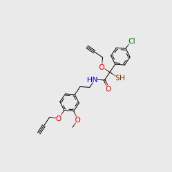 C#CCOc1ccc(CCNC(=O)C(S)(OCC#C)c2ccc(Cl)cc2)cc1OC